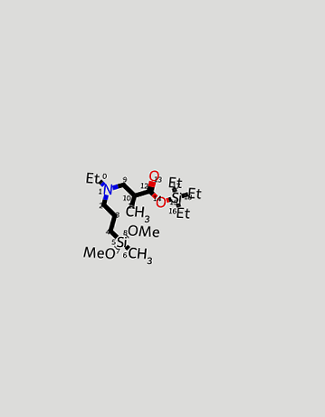 CCN(CCC[Si](C)(OC)OC)CC(C)C(=O)O[Si](CC)(CC)CC